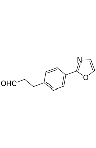 O=CCCc1ccc(-c2ncco2)cc1